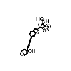 C[C@@](CCc1cc2ccc(C#CC#CC3(O)CCOCC3)cc2s1)(C(=O)NO)S(C)(=O)=O